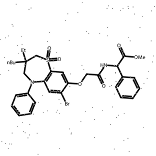 CCCCC1(CC)CN(c2ccccc2)c2cc(Br)c(OCC(=O)NC(C(=O)OC)c3ccccc3)cc2S(=O)(=O)C1